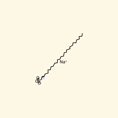 CCCCCCCCCCCCCCCCCCCCCCCCC/C=C/CS(=O)(=O)[O-].[Na+]